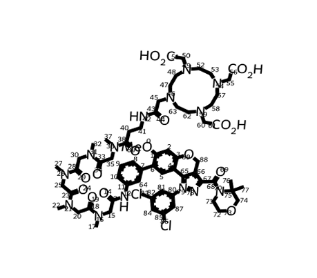 COc1cc2c(cc1-c1cccc(NC(=O)CN(C)C(=O)CN(C)C(=O)CN(C)C(=O)CN(C)C(=O)CN(C)C(=O)CCNC(=O)CN3CCN(CC(=O)O)CCN(CC(=O)O)CCN(CC(=O)O)CC3)c1)-c1c(c(C(=O)N3CCOCC3(C)C)nn1-c1cc(Cl)cc(Cl)c1)CO2